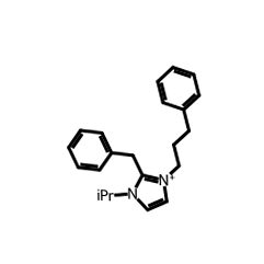 CC(C)n1cc[n+](CCCc2ccccc2)c1Cc1ccccc1